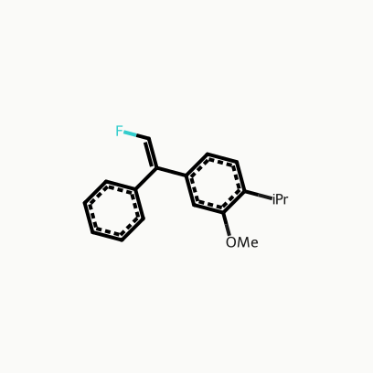 COc1cc(/C(=C/F)c2ccccc2)ccc1C(C)C